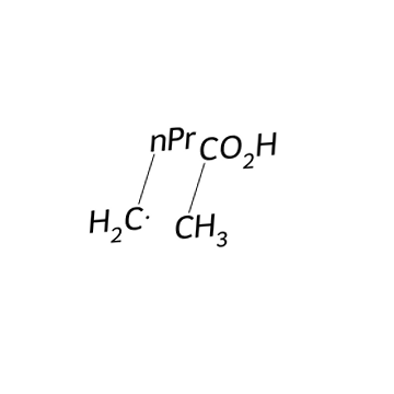 CC(=O)O.[CH2]CCC